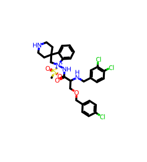 CS(=O)(=O)[N+]1(NC(=O)C(COCc2ccc(Cl)cc2)NCc2ccc(Cl)c(Cl)c2)CC2(CCNCC2)c2ccccc21